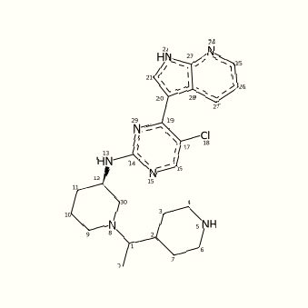 CC(C1CCNCC1)N1CCC[C@@H](Nc2ncc(Cl)c(-c3c[nH]c4ncccc34)n2)C1